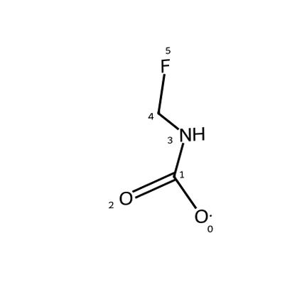 [O]C(=O)NCF